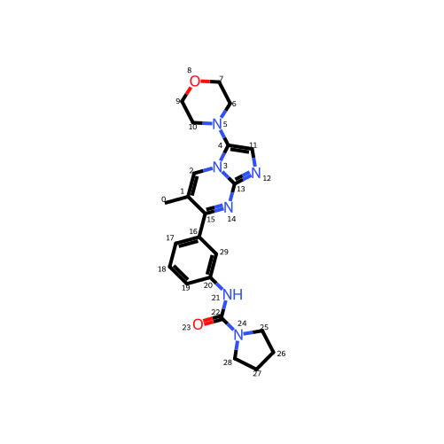 Cc1cn2c(N3CCOCC3)cnc2nc1-c1cccc(NC(=O)N2CCCC2)c1